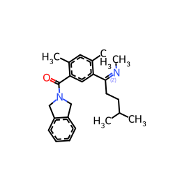 C/N=C(/CCC(C)C)c1cc(C(=O)N2Cc3ccccc3C2)c(C)cc1C